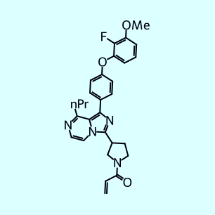 C=CC(=O)N1CCC(c2nc(-c3ccc(Oc4cccc(OC)c4F)cc3)c3c(CCC)nccn23)C1